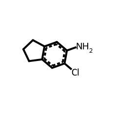 Nc1cc2c(cc1Cl)CCC2